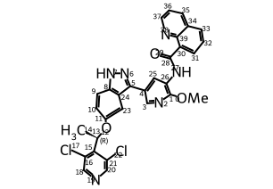 COc1ncc(-c2n[nH]c3ccc(O[C@H](C)c4c(Cl)cncc4Cl)cc23)cc1NC(=O)c1cccc2cccnc12